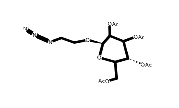 CC(=O)OCC1O[C@@H](OCCN=[N+]=[N-])C(OC(C)=O)C(OC(C)=O)[C@@H]1OC(C)=O